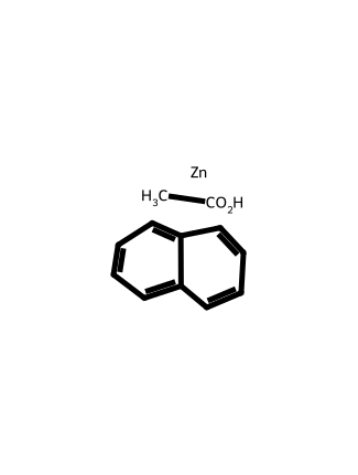 CC(=O)O.[Zn].c1ccc2ccccc2c1